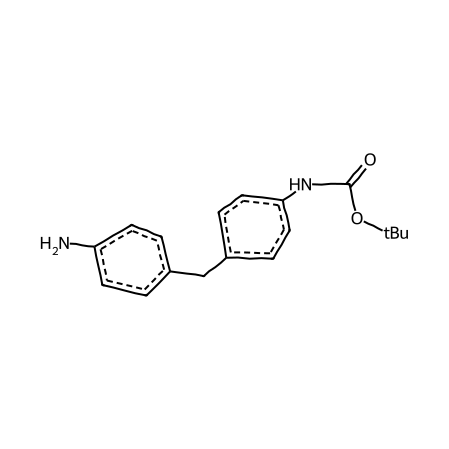 CC(C)(C)OC(=O)Nc1ccc(Cc2ccc(N)cc2)cc1